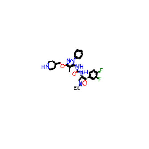 CCN1C[C@@H](NC(=O)Nc2c(C)c(OCC3CCNCC3)nn2-c2ccccc2)[C@H](c2ccc(F)c(F)c2)O1